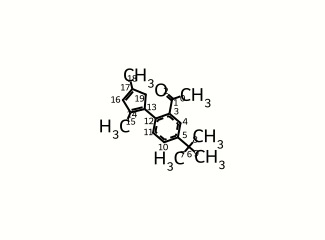 CC(=O)c1cc(C(C)(C)C)ccc1C1=C(C)C=C(C)C1